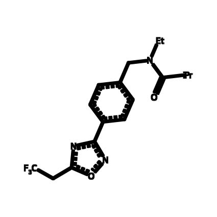 CCN(Cc1ccc(-c2noc(CC(F)(F)F)n2)cc1)C(=O)C(C)C